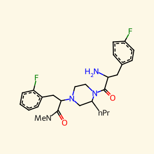 CCCC1CN(C(Cc2ccccc2F)C(=O)NC)CCN1C(=O)C(N)Cc1ccc(F)cc1